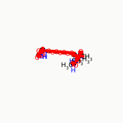 CCN(c1cc(-c2ccc(OCCOCCOCCOCCOCCOCCOCCNc3cccc4c3C(=O)N(C3CCC(=O)NC3=O)C4=O)cc2)cc(C(=O)NCc2c(C)cc(C)[nH]c2=O)c1C)C1CCOCC1